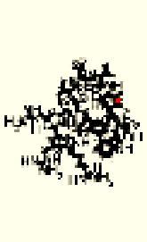 CC(C)[C@H](NC(=O)[C@H](Cc1c[nH]c2ccccc12)NC(=O)[C@H](CCCNC(=N)N)NC(=O)[C@H](CCCNC(=N)N)NC(=O)[C@@H](N)CCCNC(=N)N)C(=O)N[C@H](C(=O)N[C@H](C(=O)N[C@H](C(=O)N[C@H](C(=O)N[C@@H](Cc1c[nH]c2ccccc12)C(=O)O)C(C)C)C(C)C)C(C)C)C(C)C